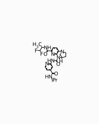 CC(C)NC(=O)c1ccnc(NC(=O)N2c3nc(C(=O)N[C@H](C)C(F)F)ccc3N3CC[C@H]2C3)c1